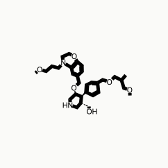 COCCCN1CCOc2ccc(CO[C@H]3CNC[C@@H](CO)[C@@H]3c3ccc(COCC(C)COC)cc3)cc21